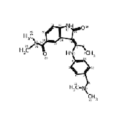 CCC(Nc1ccc(CN(C)C)cc1)=C1C(=O)Nc2ccc(C(=O)N(C)C)cc21